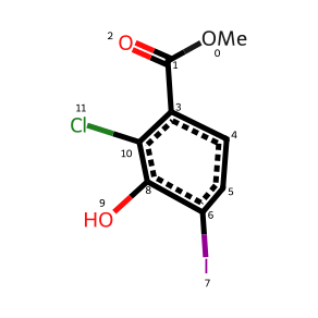 COC(=O)c1ccc(I)c(O)c1Cl